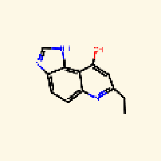 CCc1cc(O)c2c(ccc3nc[nH]c32)n1